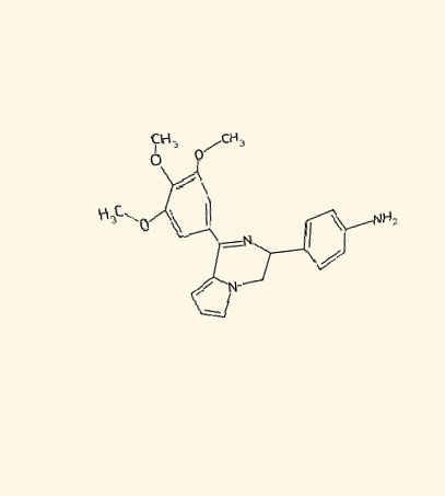 COc1cc(C2=NC(c3ccc(N)cc3)Cn3cccc32)cc(OC)c1OC